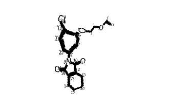 CCOCCOc1cc(N2C(=O)C3=C(CCCC3)C2=O)ccc1Cl